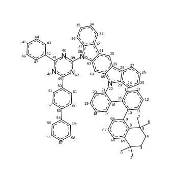 CC1(C)CCC(C)(C)c2c(-c3ccccc3-c3ccccc3-n3c4ccccc4c4cc5c6ccccc6n(-c6nc(-c7ccccc7)nc(-c7ccc(-c8ccccc8)cc7)n6)c5cc43)cccc21